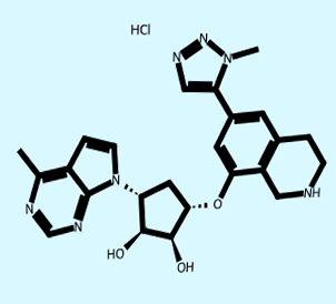 Cc1ncnc2c1ccn2[C@@H]1C[C@H](Oc2cc(-c3cnnn3C)cc3c2CNCC3)[C@@H](O)[C@H]1O.Cl